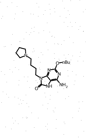 CCCCOc1nc(N)c2[nH]c(=O)n(CCCCN3CCCC3)c2n1